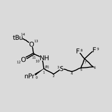 CCC[C@H](CSCC1CC1(F)F)NC(=O)OC(C)(C)C